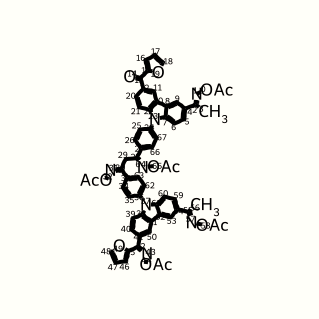 CC(=O)ON=C(C)c1ccc2c(c1)c1cc(C(=O)c3ccco3)ccc1n2-c1ccc(/C(C/C(=N/OC(C)=O)c2ccc(-n3c4ccc(C(=NOC(C)=O)c5ccco5)cc4c4cc(/C(C)=N/OC(C)=O)ccc43)cc2)=N\OC(C)=O)cc1